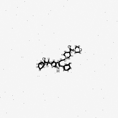 Cc1cccc(-c2[nH]c3sc(C(C)(C)C(=O)N4C5CCC4CC5)cc3c2CCN2CCC(C(=O)N3CCOCC3)CC2)c1